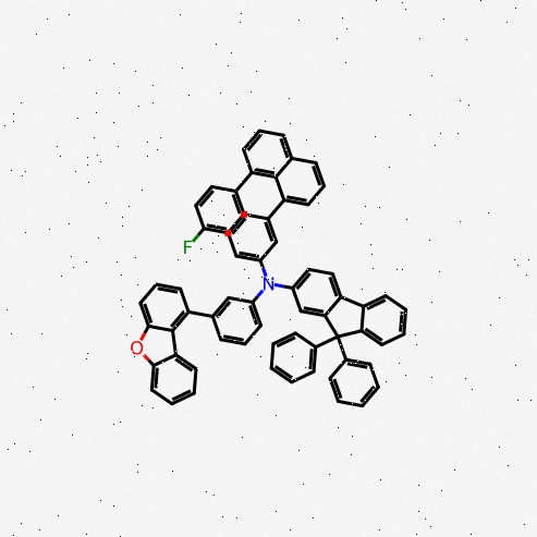 Fc1ccc(-c2cccc3cccc(-c4cccc(N(c5cccc(-c6cccc7oc8ccccc8c67)c5)c5ccc6c(c5)C(c5ccccc5)(c5ccccc5)c5ccccc5-6)c4)c23)cc1